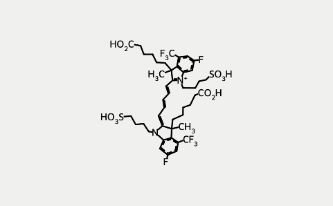 CC1(CCCCCC(=O)O)C(/C=C/C=C/C=C2/N(CCCCS(=O)(=O)O)c3cc(F)cc(C(F)(F)F)c3C2(C)CCCCCC(=O)O)=[N+](CCCCS(=O)(=O)O)c2cc(F)cc(C(F)(F)F)c21